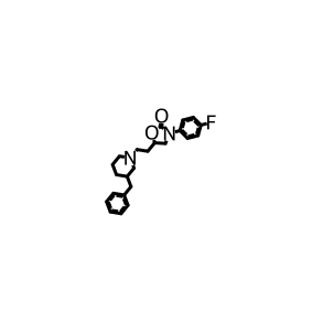 O=C1OC(CCN2CCCC(Cc3ccccc3)C2)CN1c1ccc(F)cc1